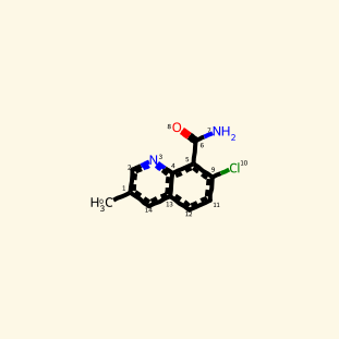 Cc1cnc2c(C(N)=O)c(Cl)ccc2c1